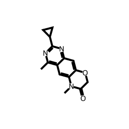 Cc1nc(C2CC2)nc2cc3c(cc12)N(C)C(=O)CO3